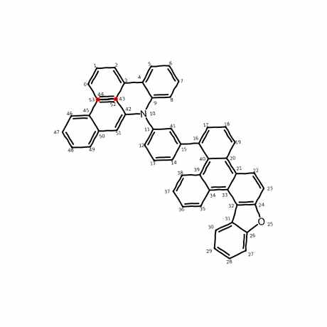 c1ccc(-c2ccccc2N(c2cccc(-c3cccc4c5ccc6oc7ccccc7c6c5c5ccccc5c34)c2)c2ccc3ccccc3c2)cc1